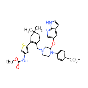 CC1(C)CCC(CN2CCN(c3ccc(C(=O)O)cc3)C(Oc3cnc4[nH]ccc4c3)C2)=C(c2cc(NC(=O)OC(C)(C)C)cs2)C1